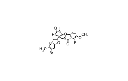 COc1ccc2c(c1F)C(=O)N(C[C@@]1(c3cc4nc(C)c(Br)cc4o3)NC(=O)NC1=O)C2